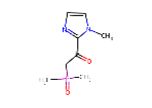 Cn1ccnc1C(=O)CP(C)(C)=O